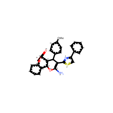 COc1ccc(C2C(c3nc(-c4ccccc4)cs3)=C(N)Oc3c2c(=O)oc2ccccc32)cc1